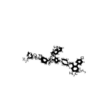 CN1CCO[C@H](CNc2ccc(S(=O)(=O)NC(=O)c3ccc(N4CCN(CC5=C(c6ccc(Cl)cc6)CC(C)(C)CC5)CC4)cc3-n3ncc4nc5[nH]ccc5cc43)cc2[N+](=O)[O-])C1